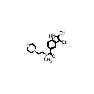 CCc1c(C)[nH]c2ccc(C(=O)N(C)CCN3CCOCC3)cc12